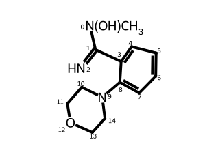 CN(O)C(=N)c1ccccc1N1CCOCC1